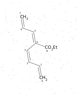 C=C/C=C\C(=C/C=C)C(=O)OCC